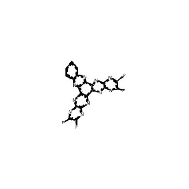 Fc1nc2nc3c4nc5ccccc5nc4c4nc5nc(F)c(F)nc5nc4c3nc2nc1F